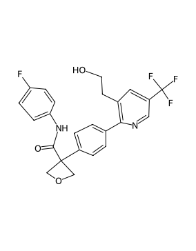 O=C(Nc1ccc(F)cc1)C1(c2ccc(-c3ncc(C(F)(F)F)cc3CCO)cc2)COC1